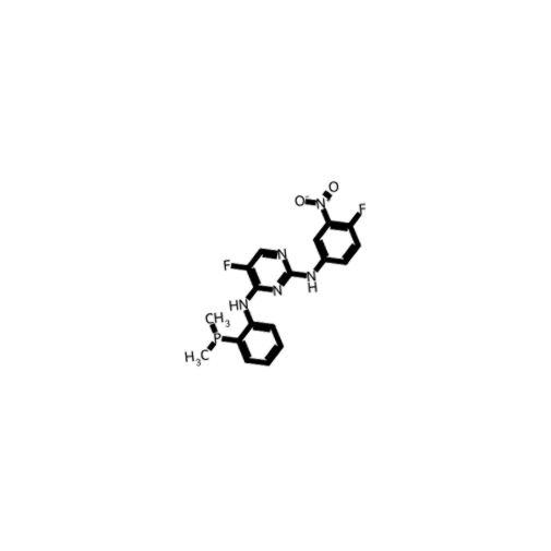 CP(C)c1ccccc1Nc1nc(Nc2ccc(F)c([N+](=O)[O-])c2)ncc1F